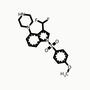 COc1ccc(S(=O)(=O)n2cc(C(F)F)c3c(N4CCNCC4)cccc32)cc1